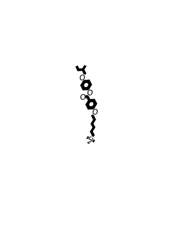 CCC(C)COc1ccc(OC(=O)c2ccc(OCCCCCC[Si](C)(C)C)cc2)cc1